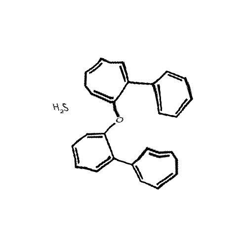 S.c1ccc(-c2ccccc2Oc2ccccc2-c2ccccc2)cc1